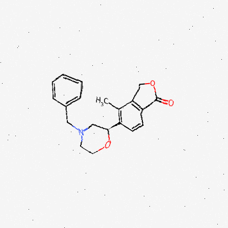 Cc1c([C@@H]2CN(Cc3ccccc3)CCO2)ccc2c1COC2=O